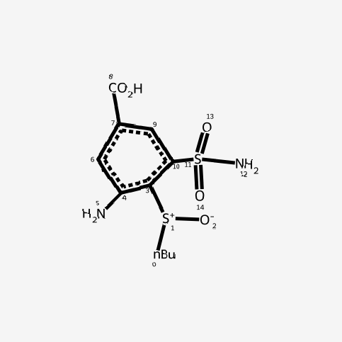 CCCC[S+]([O-])c1c(N)cc(C(=O)O)cc1S(N)(=O)=O